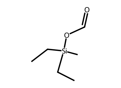 CC[Si](C)(CC)OC=O